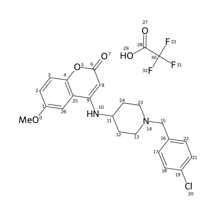 COc1ccc2oc(=O)cc(NC3CCN(Cc4ccc(Cl)cc4)CC3)c2c1.O=C(O)C(F)(F)F